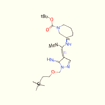 CN/C(N[C@@H]1CCCN(C(=O)OC(C)(C)C)C1)=C1/C=NN(COCC[Si](C)(C)C)C1=N